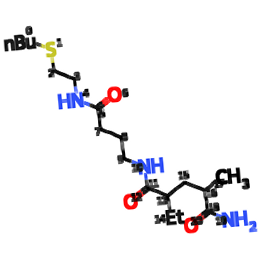 CCCCSCCNC(=O)CCCNC(=O)C(CC)CC(C)C(N)=O